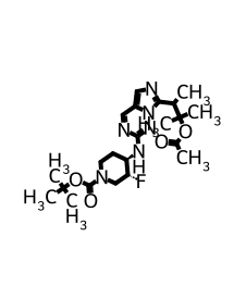 CC(=O)OC(C)(C)C(C)c1ncc2cnc(N[C@@H]3CCN(C(=O)OC(C)(C)C)C[C@H]3F)nn12